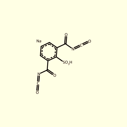 O=C=NC(=O)c1cccc(C(=O)N=C=O)c1S(=O)(=O)O.[Na]